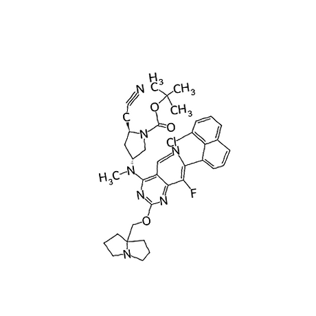 CN(c1nc(OCC23CCCN2CCC3)nc2c(F)c(-c3cccc4cccc(Cl)c34)ncc12)[C@@H]1C[C@@H](CC#N)N(C(=O)OC(C)(C)C)C1